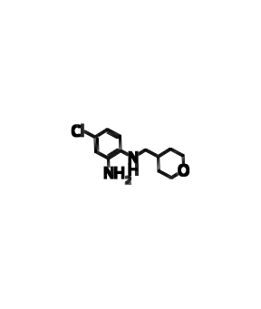 Nc1cc(Cl)ccc1NCC1CCOCC1